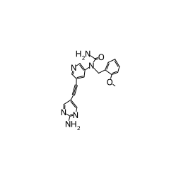 COc1ccccc1CN(C(N)=O)c1cncc(C#Cc2cnc(N)nc2)c1